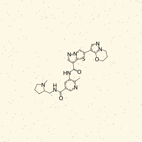 Cc1ncc(C(=O)NCC2CCCN2C)cc1NC(=O)c1cnn2cc(-c3cnn4c3OCCC4)sc12